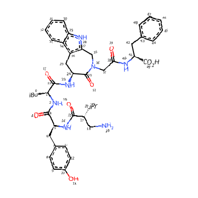 CCC(C)[C@H](NC(=O)[C@H](Cc1ccc(O)cc1)NC(=O)[C@@H](CN)C(C)C)C(=O)N[C@H]1Cc2c([nH]c3ccccc23)CN(CC(=O)N[C@@H](Cc2ccccc2)C(=O)O)C1=O